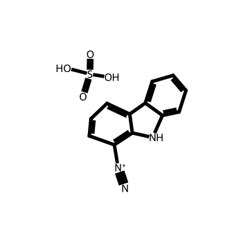 N#[N+]c1cccc2c1[nH]c1ccccc12.O=S(=O)(O)O